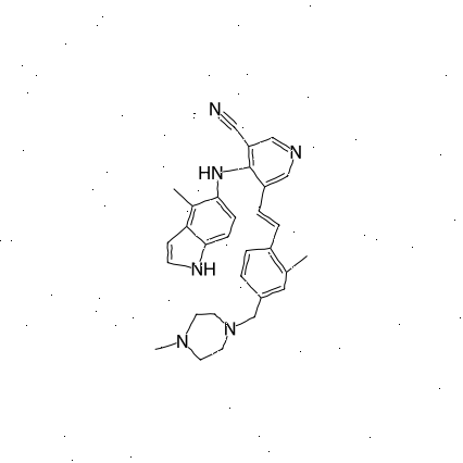 Cc1cc(CN2CCN(C)CC2)ccc1C=Cc1cncc(C#N)c1Nc1ccc2[nH]ccc2c1C